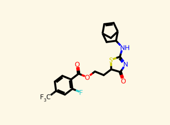 O=C(OCCC1SC(NC2CC3C=CC2C3)=NC1=O)c1ccc(C(F)(F)F)cc1F